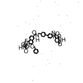 Cn1c(=O)n(C2CCC(=O)NC2=O)c2ccc(C3=CCC(CNC(=O)c4ccc5c(F)c(N6CC(=O)NS6(=O)=O)c(OCc6ccccc6)cc5c4)CC3)cc21